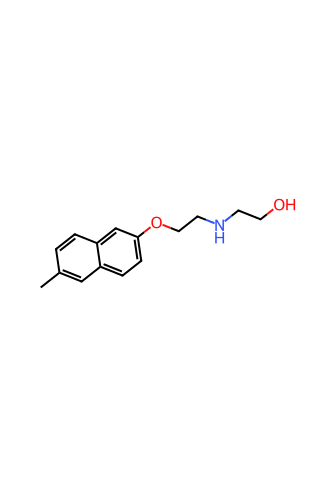 Cc1ccc2cc(OCCNCCO)ccc2c1